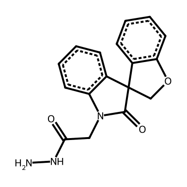 NNC(=O)CN1C(=O)C2(COc3ccccc32)c2ccccc21